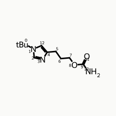 CC(C)(C)n1cnc(CCCOC(N)=O)c1